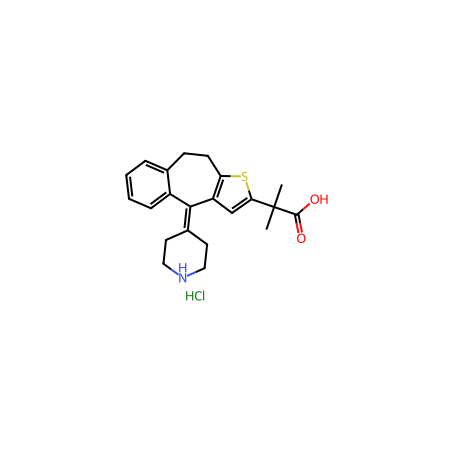 CC(C)(C(=O)O)c1cc2c(s1)CCc1ccccc1C2=C1CCNCC1.Cl